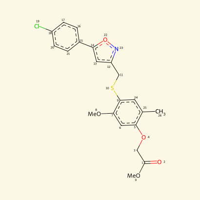 COC(=O)COc1cc(OC)c(SCc2cc(-c3ccc(Cl)cc3)on2)cc1C